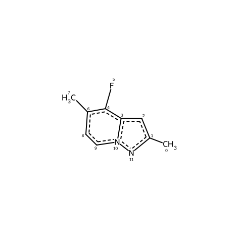 Cc1cc2c(F)c(C)ccn2n1